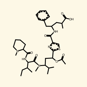 CCC(C)C(NC(=O)C1CCCCN1C)C(=O)N(C)C(CC(OC(C)=O)c1nc(C(=O)NC(Cc2ccccc2)CC(C)C(=O)O)cs1)C(C)C